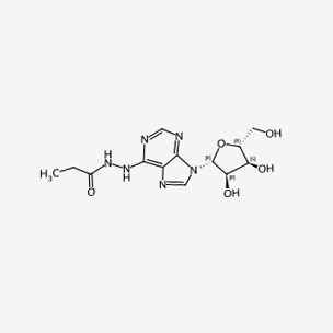 CCC(=O)NNc1ncnc2c1ncn2[C@@H]1O[C@H](CO)[C@@H](O)[C@H]1O